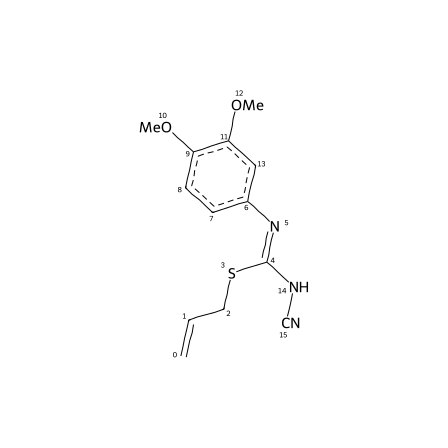 C=CCS/C(=N\c1ccc(OC)c(OC)c1)NC#N